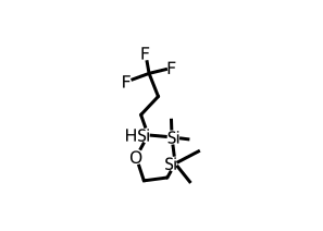 C[Si]1(C)CCO[SiH](CCC(F)(F)F)[Si]1(C)C